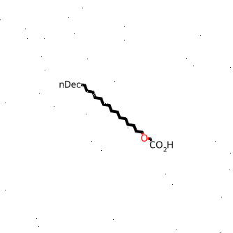 CCCCCCCCCCCCCCCCCCCCCCCCCOCC(=O)O